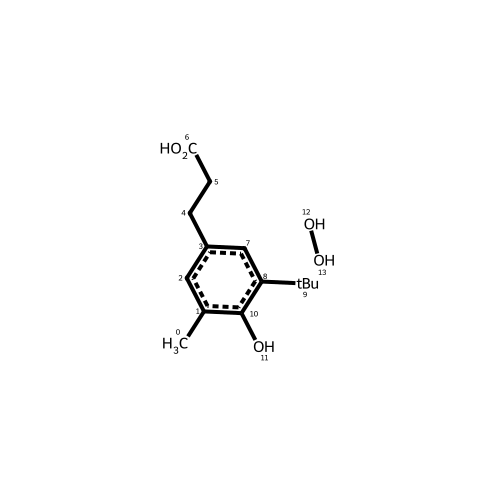 Cc1cc(CCC(=O)O)cc(C(C)(C)C)c1O.OO